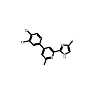 Cc1cc(-c2ccc(Cl)c(Cl)c2)cc(-c2nc(I)c[nH]2)n1